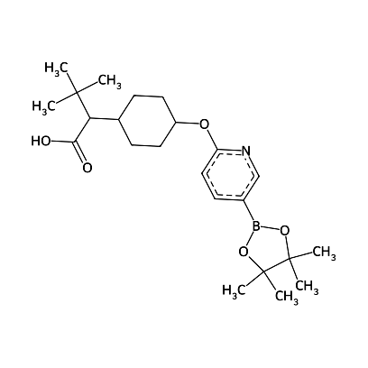 CC(C)(C)C(C(=O)O)C1CCC(Oc2ccc(B3OC(C)(C)C(C)(C)O3)cn2)CC1